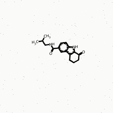 CC(C)CNC(=O)c1ccc2[nH]c3c(c2c1)CCCC3=O